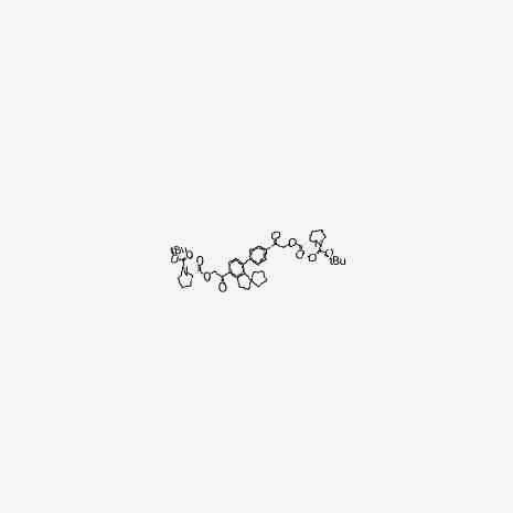 CC(C)(C)OC(=O)N1CCC[C@H]1C(=O)OCC(=O)c1ccc(-c2ccc(C(=O)COC(=O)[C@@H]3CCCN3C(=O)OC(C)(C)C)c3c2C2(CCCC2)CC3)cc1